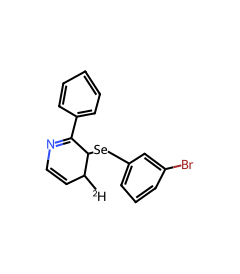 [2H]C1C=CN=C(c2ccccc2)C1[Se]c1cccc(Br)c1